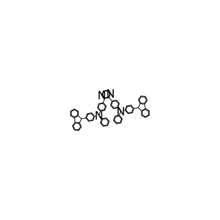 c1ccc(N(c2ccc(-c3nccnc3-c3ccc(N(c4ccccc4)c4ccc(C5c6ccccc6-c6ccccc65)cc4)cc3)cc2)c2ccc(C3c4ccccc4-c4ccccc43)cc2)cc1